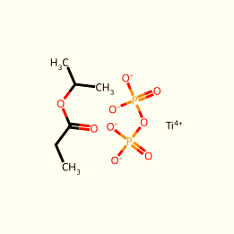 CCC(=O)OC(C)C.O=P([O-])([O-])OP(=O)([O-])[O-].[Ti+4]